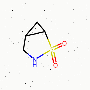 O=S1(=O)NCC2CC21